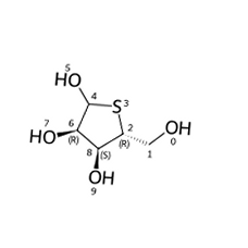 OC[C@H]1SC(O)[C@H](O)[C@@H]1O